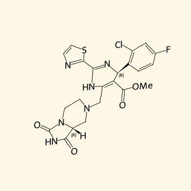 COC(=O)C1=C(CN2CCN3C(=O)NC(=O)[C@H]3C2)NC(c2nccs2)=N[C@H]1c1ccc(F)cc1Cl